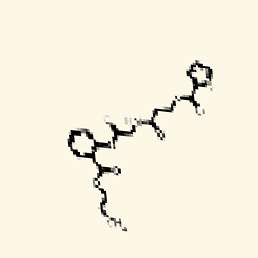 CCCOC(=O)c1ccccc1OC(=O)CNC(=O)CCSC(=O)c1cccs1